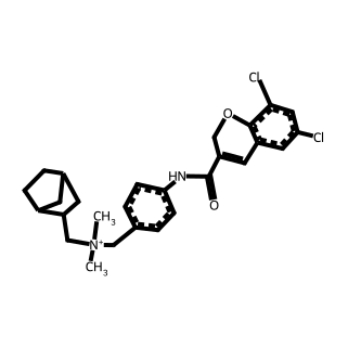 C[N+](C)(Cc1ccc(NC(=O)C2=Cc3cc(Cl)cc(Cl)c3OC2)cc1)CC1CC2CCC1C2